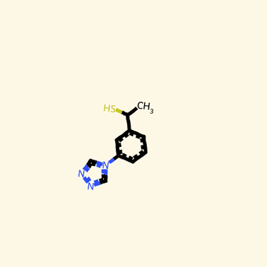 CC(S)c1cccc(-n2cnnc2)c1